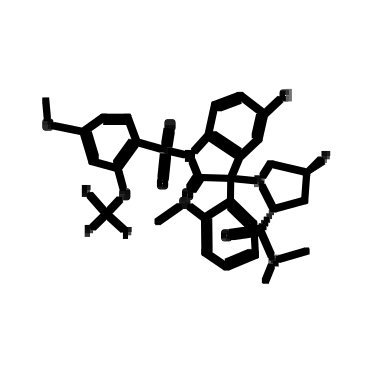 COc1ccc(S(=O)(=O)N2C(=O)C(c3ccccc3OC)(N3C[C@@H](F)C[C@@H]3C(=O)N(C)C)c3cc(Cl)ccc32)c(OC(F)(F)F)c1